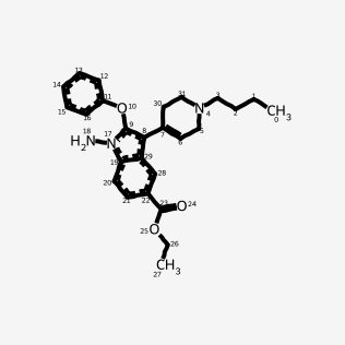 CCCCN1CC=C(c2c(Oc3ccccc3)n(N)c3ccc(C(=O)OCC)cc23)CC1